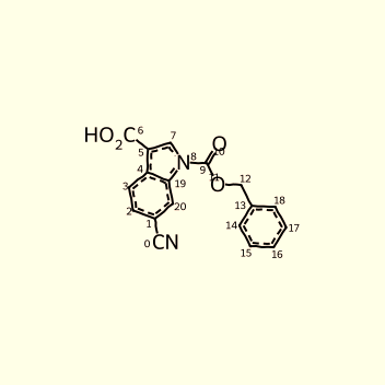 N#Cc1ccc2c(C(=O)O)cn(C(=O)OCc3ccccc3)c2c1